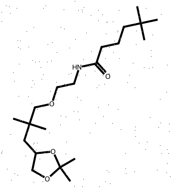 CC(C)(C)CCCC(=O)NCCOCC(C)(C)CC1COC(C)(C)O1